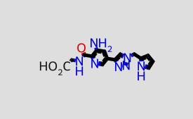 Nc1cc(-c2cn(Cc3ccc[nH]3)nn2)cnc1C(=O)NCC(=O)O